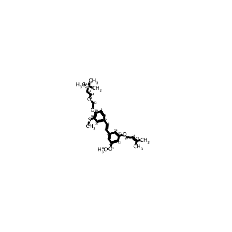 COc1cc(C=Cc2ccc(OCOCC[Si](C)(C)C)c(SC)c2)cc(OCC=C(C)C)c1